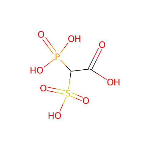 O=C(O)C(P(=O)(O)O)S(=O)(=O)O